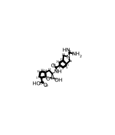 N=C(N)N1Cc2ccc(C(=O)N[C@H]3Cc4cccc(C(=O)O)c4OB3O)cc2C1